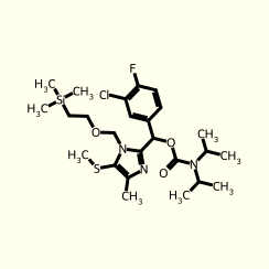 CSc1c(C)nc(C(OC(=O)N(C(C)C)C(C)C)c2ccc(F)c(Cl)c2)n1COCC[Si](C)(C)C